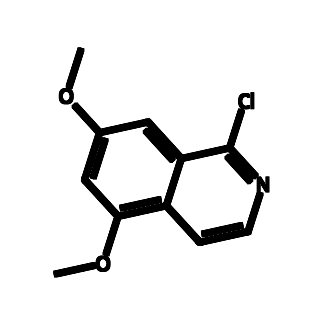 COc1cc(OC)c2ccnc(Cl)c2c1